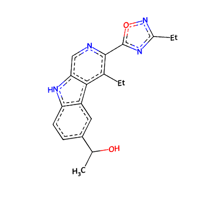 CCc1noc(-c2ncc3[nH]c4ccc(C(C)O)cc4c3c2CC)n1